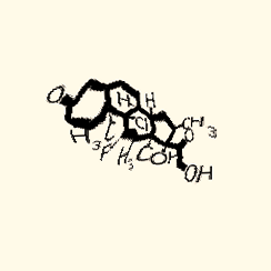 C[C@@H]1C[C@H]2[C@@H]3C=CC4=CC(=O)C=C[C@]4(C)[C@@]3(Cl)[C@@H](F)C[C@]2(C)[C@@]1(O)C(=O)CO